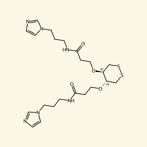 O=C(CCO[C@H]1CSSC[C@@H]1OCCC(=O)NCCCn1ccnc1)NCCCn1ccnc1